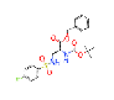 CC(C)(C)OC(=O)N[C@@H](CNS(=O)(=O)c1ccc(F)cc1)C(=O)OCc1ccccc1